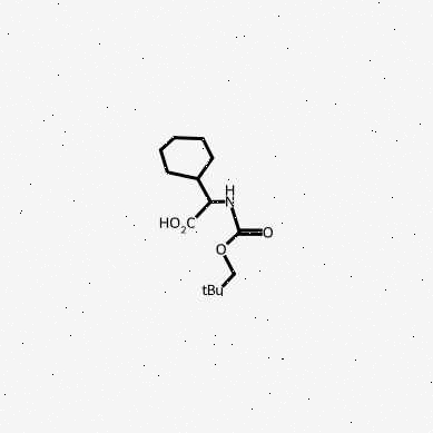 CC(C)(C)COC(=O)NC(C(=O)O)C1CCCCC1